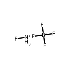 F[B-](F)(F)F.[NH3+]F